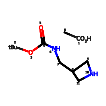 CC(=O)O.CC(C)(C)OC(=O)NCC1CNC1